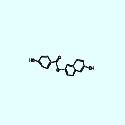 O=C(Oc1ccc2cc(O)ccc2c1)c1ccc(O)cc1